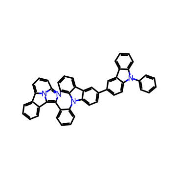 c1ccc(-n2c3ccccc3c3cc(-c4ccc5c(c4)c4ccccc4n5-c4ccccc4-c4nc5cccc6c7ccccc7c4n56)ccc32)cc1